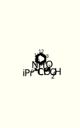 CC(C)[C@H](N)C(=O)O.O=C(Cl)Oc1ccccc1